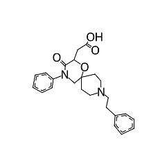 O=C(O)CC1OC2(CCN(CCc3ccccc3)CC2)CN(c2ccccc2)C1=O